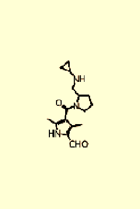 Cc1[nH]c(C=O)c(C)c1C(=O)N1CCCC1CNC1CC1